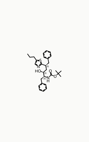 CCCc1cnc([C@@H](Cc2ccccc2)C[C@H](O)[C@H](Cc2ccccc2)NC(=O)OC(C)(C)C)s1